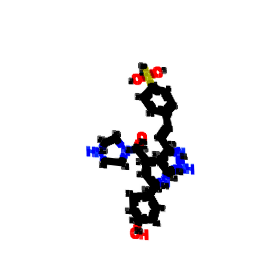 CS(=O)(=O)c1ccc(C=Cc2n[nH]c3nc(-c4ccc(O)cc4)cc(C(=O)N4CCNCC4)c23)cc1